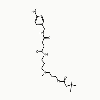 CNc1ccc(CNC(=O)CCC(=O)NCCCN(C)CCCNC(=O)CC(C)(C)C)cc1